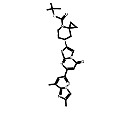 Cc1cn2nc(-c3cc(=O)n4cc([C@H]5CCN(C(=O)OC(C)(C)C)C6(CC6)C5)sc4n3)cc(C)c2n1